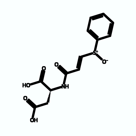 O=C(O)C[C@@H](NC(=O)C=C[S+]([O-])c1ccccc1)C(=O)O